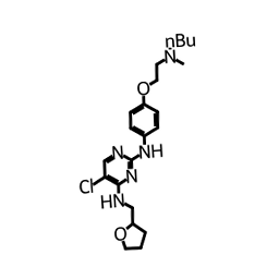 CCCCN(C)CCOc1ccc(Nc2ncc(Cl)c(NCC3CCCO3)n2)cc1